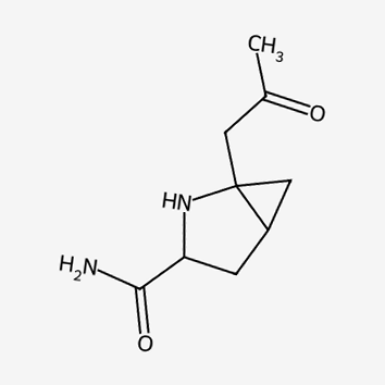 CC(=O)CC12CC1CC(C(N)=O)N2